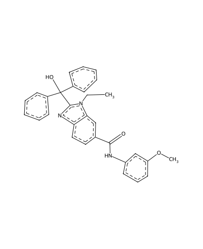 CCn1c(C(O)(c2ccccc2)c2ccccc2)nc2ccc(C(=O)Nc3cccc(OC)c3)cc21